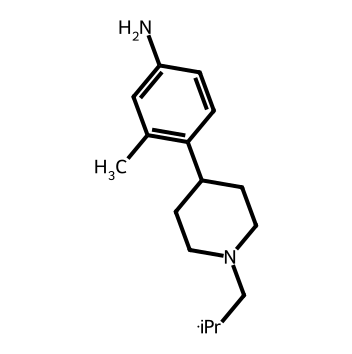 C[C](C)CN1CCC(c2ccc(N)cc2C)CC1